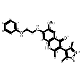 CCCCc1cc2c(=O)c(-c3c(C)noc3C)c(C)[nH]c2cc1OCCOc1ccccc1